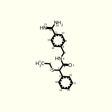 CCSC(C(=O)NCc1ccc(C(=N)N)cc1)c1ccccc1